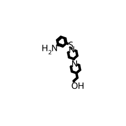 Nc1cccc(SN2CCC(N3CCC(CCO)CC3)CC2)c1